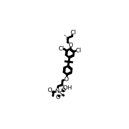 CC(=O)N(C[C@@H](O)COc1ccc(C(C)(C)c2cc(Cl)c(OC[C@H](C)CCl)c(Cl)c2)cc1)S(C)(=O)=O